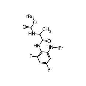 CC(C)Nc1cc(Br)cc(F)c1NC(=O)C(C)NC(=O)OC(C)(C)C